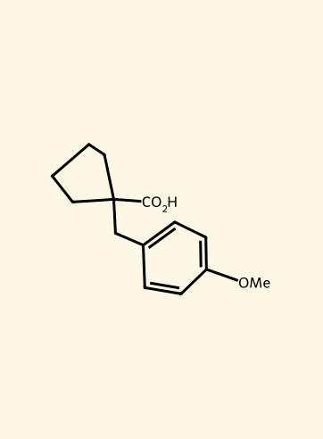 COc1ccc(CC2(C(=O)O)CCCC2)cc1